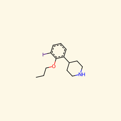 CCCOc1c(I)cccc1C1CCNCC1